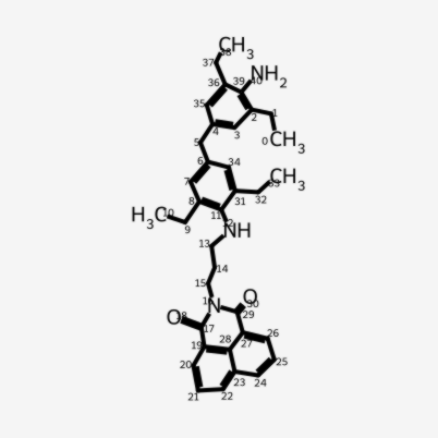 CCc1cc(Cc2cc(CC)c(NCCCN3C(=O)c4cccc5cccc(c45)C3=O)c(CC)c2)cc(CC)c1N